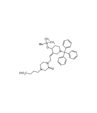 CCOC(=O)CCCN1CCN(C/C=C2\CN(C(c3ccccc3)(c3ccccc3)c3ccccc3)CCC2O[Si](C)(C)C(C)(C)C)C(=O)C1